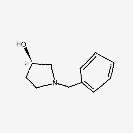 O[C@@H]1CCN(Cc2cc[c]cc2)C1